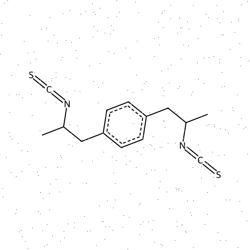 CC(Cc1ccc(CC(C)N=C=S)cc1)N=C=S